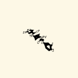 CCn1cc(C(=O)NC23CC(NC(=O)COc4ccc(Cl)c(F)c4)(C2)C3)cn1